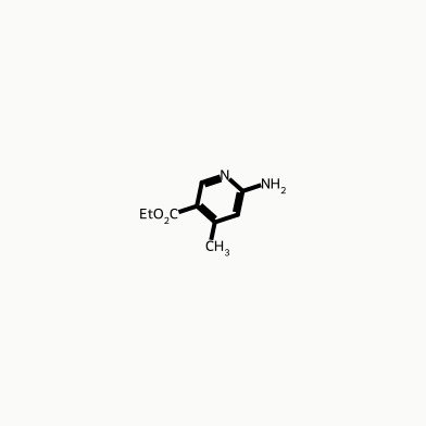 CCOC(=O)c1cnc(N)cc1C